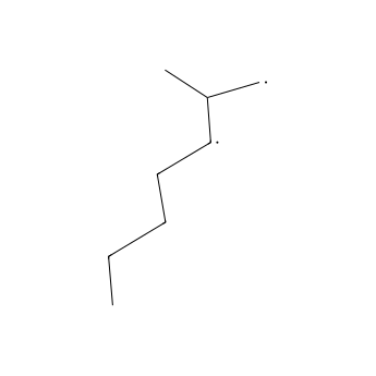 [CH2]C(C)[CH]CCCC